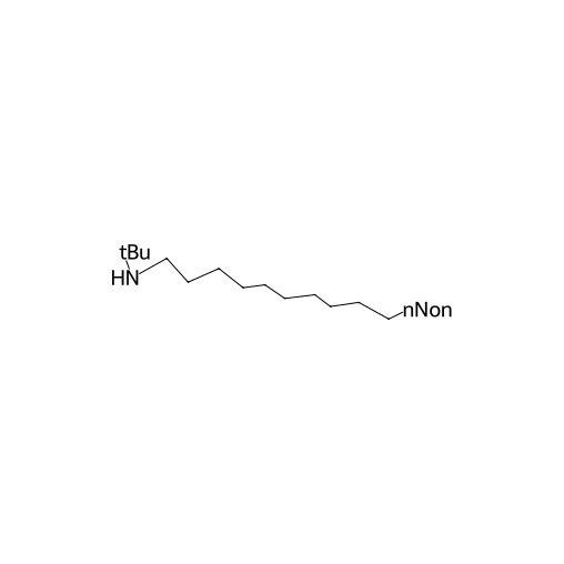 CCCCCCCCCCCCCCCCCCCNC(C)(C)C